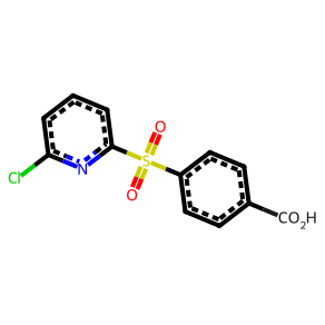 O=C(O)c1ccc(S(=O)(=O)c2cccc(Cl)n2)cc1